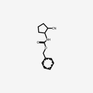 N#CC1CCCC1NC(=O)OCc1ccccc1